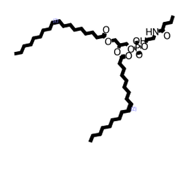 CCCCCCCC/C=C\CCCCCCCC(=O)OCC(COP(=O)(O)OCCNC(=O)CCC)OC(=O)CCCCCCC/C=C\CCCCCCCC